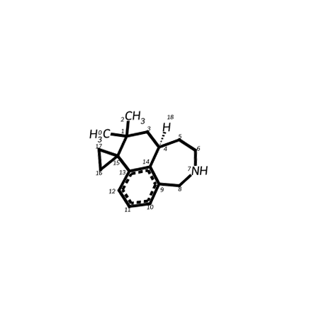 CC1(C)C[C@H]2CCNCc3cccc(c32)C12CC2